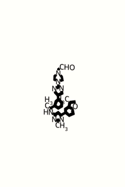 Cc1nc(N[C@@H](C)c2cccc(-c3cnc(N4CCN(CC=O)CC4)nc3)c2)cc(-c2ccc3occ(C)c3c2)n1